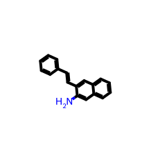 Nc1cc2ccccc2cc1C=Cc1ccccc1